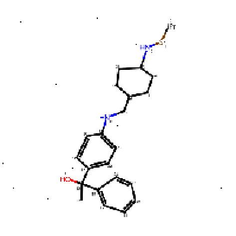 CC(C)SNC1CCC(CNc2ccc(C(C)(O)c3ccccc3)cc2)CC1